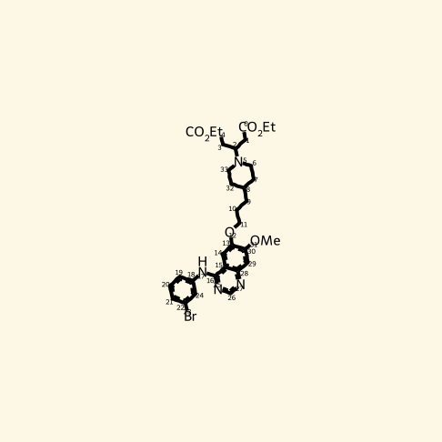 CCOC(=O)CC(CC(=O)OCC)N1CCC(CCCOc2cc3c(Nc4cccc(Br)c4)ncnc3cc2OC)CC1